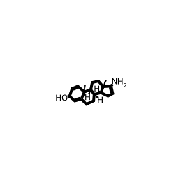 C[C@]12C=CC(O)C=C1CC[C@@H]1[C@H]2CC[C@]2(C)C(N)=CC[C@@H]12